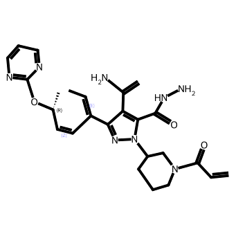 C=CC(=O)N1CCCC(n2nc(C(/C=C\[C@@H](C)Oc3ncccn3)=C/C)c(C(=C)N)c2C(=O)NN)C1